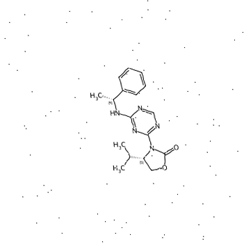 CC(C)[C@H]1COC(=O)N1c1ncnc(N[C@H](C)c2ccccc2)n1